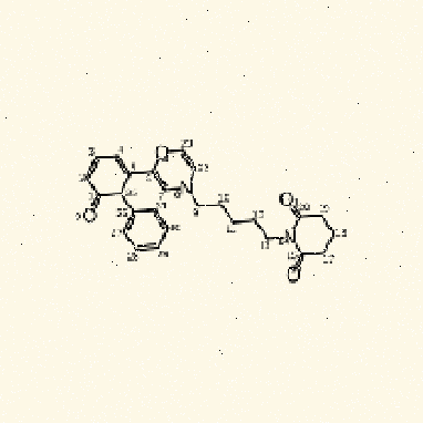 O=C1C=CC=C(C2=CN(CCCCCN3C(=O)CCCC3=O)C=CO2)C1c1ccccc1